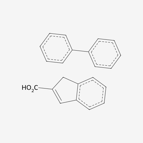 O=C(O)C1=Cc2ccccc2C1.c1ccc(-c2ccccc2)cc1